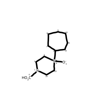 O=C(O)N1CC[N+]([O-])(C2CCCCCC2)CC1